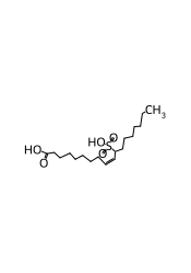 CCCCCCCC(/C=C\CCCCCCCC(=O)O)S(=O)(=O)O